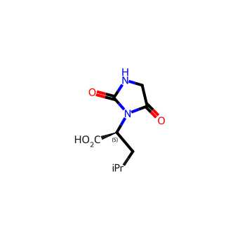 CC(C)C[C@@H](C(=O)O)N1C(=O)CNC1=O